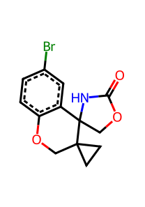 O=C1NC2(CO1)c1cc(Br)ccc1OCC21CC1